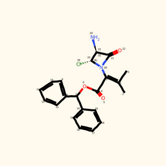 CC(C)=C(C(=O)OC(c1ccccc1)c1ccccc1)N1C(=O)[C@H](N)[C@H]1Cl